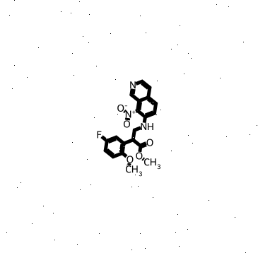 COC(=O)C(CNc1ccc2ccncc2c1[N+](=O)[O-])c1cc(F)ccc1OC